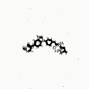 Cc1cc(NC(=O)Cc2ccc(-n3cnc4cc(-c5cnn(C)c5)ccc43)cc2)[nH]n1